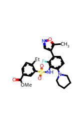 CCc1ccc(C(=O)OC)cc1S(=O)(=O)Nc1c(N2CCCCC2)ccc(-c2cnoc2C)c1F